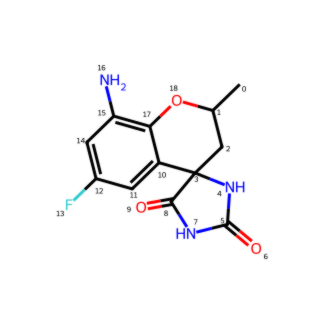 CC1CC2(NC(=O)NC2=O)c2cc(F)cc(N)c2O1